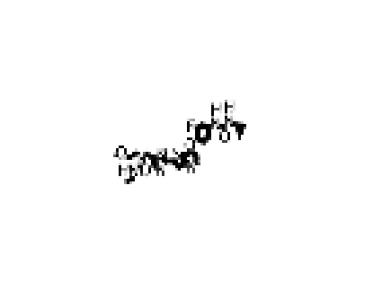 CCNC(=O)N(CCOC)Cc1cnc(-c2cc3nccc(Oc4ccc(NC(=O)NC5CC5)cc4F)c3s2)n1C